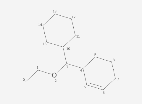 CCOC(C1C=CCCC1)C1CCCCC1